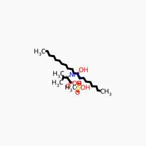 CC(C)[C@H](N)C(=O)O.CCCCCCCCCCCC(O)CCCCCCCC.CS(=O)(=O)O